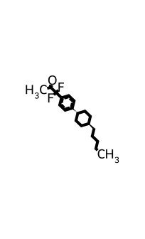 CCCCC[C@H]1CC[C@H](c2ccc(C(F)(F)C(C)=O)cc2)CC1